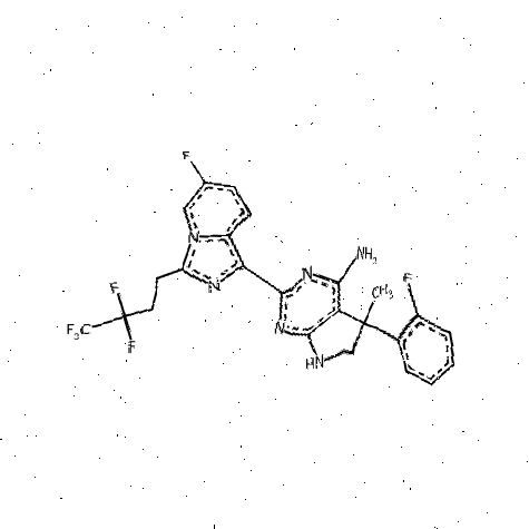 CC1(c2ccccc2F)CNc2nc(-c3nc(CCC(F)(F)C(F)(F)F)n4cc(F)ccc34)nc(N)c21